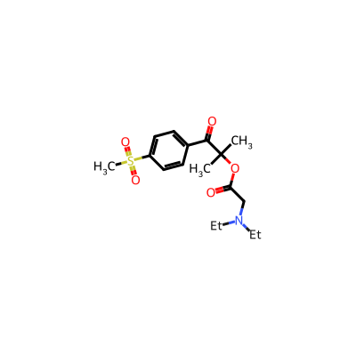 CCN(CC)CC(=O)OC(C)(C)C(=O)c1ccc(S(C)(=O)=O)cc1